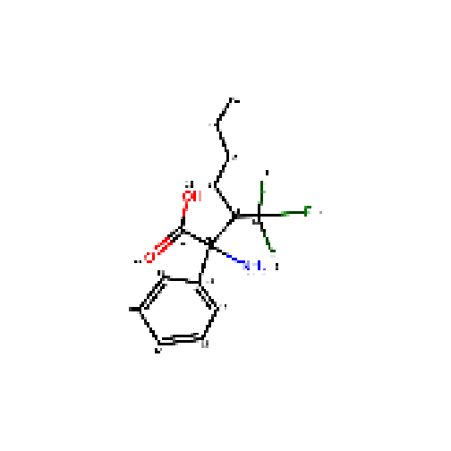 CCCCC(C(F)(F)F)C(N)(C(=O)O)c1ccccc1